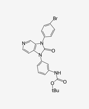 CC(C)(C)OC(=O)Nc1cccc(-n2c(=O)n(-c3ccc(Br)cc3)c3cnccc32)c1